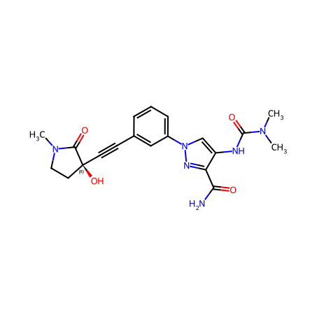 CN(C)C(=O)Nc1cn(-c2cccc(C#C[C@]3(O)CCN(C)C3=O)c2)nc1C(N)=O